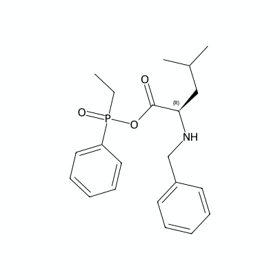 CCP(=O)(OC(=O)[C@@H](CC(C)C)NCc1ccccc1)c1ccccc1